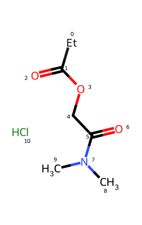 CCC(=O)OCC(=O)N(C)C.Cl